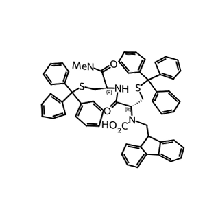 CNC(=O)[C@H](CSC(c1ccccc1)(c1ccccc1)c1ccccc1)NC(=O)[C@H](CSC(c1ccccc1)(c1ccccc1)c1ccccc1)N(CC1c2ccccc2-c2ccccc21)C(=O)O